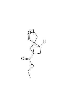 CCOC(=O)[C@]12CC(C=O)(CCl)[C@H](C1)C2